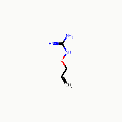 C=CCONC(=N)N